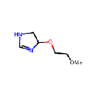 COCCOC1CN[C]=N1